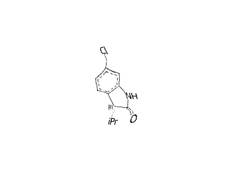 CC(C)[C@H]1C(=O)Nc2cc(Cl)ccc21